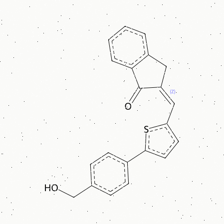 O=C1/C(=C\c2ccc(-c3ccc(CO)cc3)s2)Cc2ccccc21